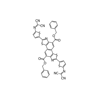 N#CC(C#N)=Nc1ccc(-c2nc3c(C(=O)OCc4ccccc4)cc4c(cc(C(=O)OCc5ccccc5)c5nc(-c6ccc(N=C(C#N)C#N)s6)sc54)c3s2)s1